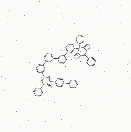 NC(/N=C(\N=C\c1ccc(-c2ccccc2)cc1)c1cccc(-c2cccc(-c3cccc(-c4ccc5c(c4)C4(c6ccccc6-5)c5ccccc5N(c5ccccc5)c5ccccc54)c3)c2)c1)c1ccccc1